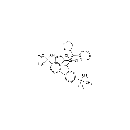 CC(C)(C)c1ccc2c(c1)[CH]([Zr]([Cl])([Cl])(=[C](c1ccccc1)C1CCCC1)[CH]1C=CC=C1)c1cc(C(C)(C)C)ccc1-2